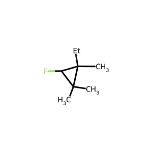 CCC1(C)C(F)C1(C)C